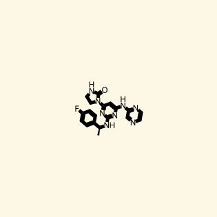 C[C@H](Nc1nc(Nc2cnccn2)cc(N2CCNC2=O)n1)c1ccc(F)cc1